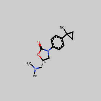 CC(=O)N(C)C[C@H]1CN(c2ccc(C3(C#N)CC3)cc2)C(=O)O1